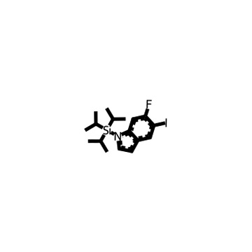 CC(C)[Si](C(C)C)(C(C)C)n1ccc2cc(I)c(F)cc21